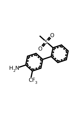 CS(=O)(=O)c1ccccc1-c1ccc(N)c(C(F)(F)F)c1